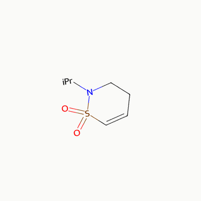 CC(C)N1CCC=CS1(=O)=O